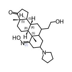 C[C@]12/C(=N\O)CC(N3CCCC3)CC1C(CCO)C[C@@H]1[C@H]2CC[C@]2(C)C(=O)CC[C@@H]12